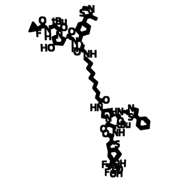 Cc1ncsc1-c1ccc([C@H](CC(=O)NCCCCCCCCCC(=O)N[C@@H]2C[C@@H](C(=O)Nc3ncc(-c4ccccc4)s3)N(C(=O)[C@@H](NC(=O)c3cc4cc(C(F)(F)P(=O)(O)O)ccc4s3)C(C)(C)C)C2)NC(=O)[C@@H]2C[C@@H](O)CN2C(=O)[C@@H](NC(=O)C2(F)CC2)C(C)(C)C)cc1